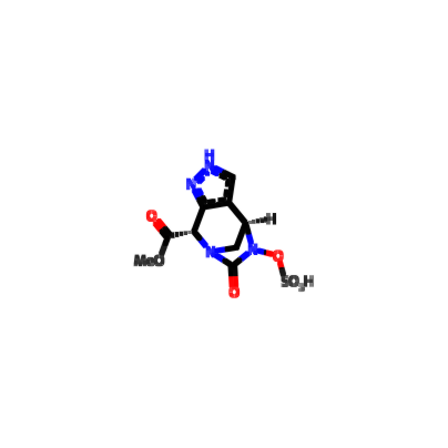 COC(=O)[C@@H]1c2n[nH]cc2[C@@H]2CN1C(=O)N2OS(=O)(=O)O